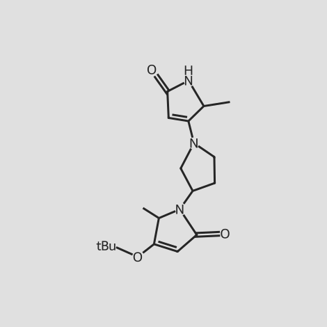 CC1NC(=O)C=C1N1CCC(N2C(=O)C=C(OC(C)(C)C)C2C)C1